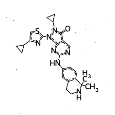 CC1(C)NCCc2cc(Nc3ncc4c(=O)n(C5CC5)n(-c5nc(C6CC6)cs5)c4n3)ccc21